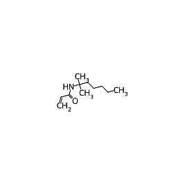 C=CC(=O)NC(C)(C)CCCCC